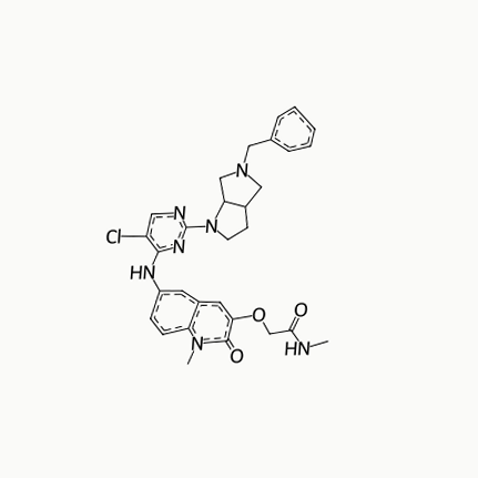 CNC(=O)COc1cc2cc(Nc3nc(N4CCC5CN(Cc6ccccc6)CC54)ncc3Cl)ccc2n(C)c1=O